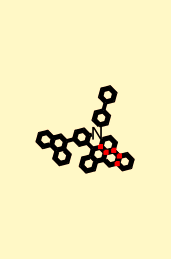 c1ccc(-c2ccc(N(c3ccc(-c4ccccc4)cc3)c3ccc(-c4cc5ccccc5c5ccccc45)cc3-c3cc4ccccc4c4ccccc34)cc2)cc1